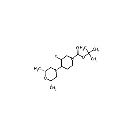 C[C@@H]1CN(C2CCN(C(=O)OC(C)(C)C)CC2F)C[C@H](C)O1